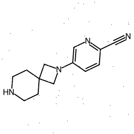 N#Cc1ccc(N2CC3(CCNCC3)C2)cn1